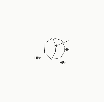 Br.Br.CN1CC2CCC1CNC2